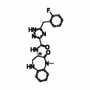 CN1C(=O)[C@@H](NC(=O)c2n[nH]c(Cc3ccccc3F)n2)CNc2ccccc21